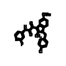 COc1ccc2c(c1)c(C(=O)C(=O)Nc1ccnc(F)c1)c(C)n2Cc1ccc(Cl)cc1